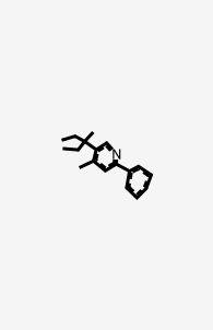 CCC(C)(CC)c1cnc(-c2ccccc2)cc1C